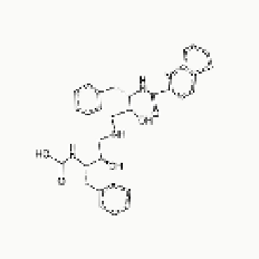 O=C(O)N[C@@H](Cc1ccccc1)[C@H](O)CNCC(O)[C@H](Cc1ccccc1)NC(=O)c1ccc2ccccc2n1